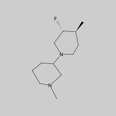 C[C@H]1CCN(C2CCCN(C)C2)C[C@@H]1F